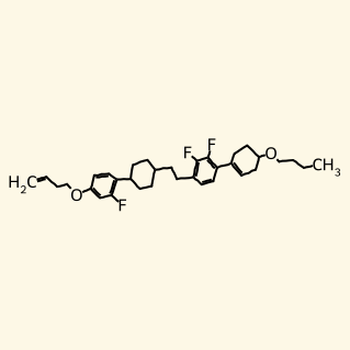 C=CCCOc1ccc(C2CCC(CCc3ccc(C4=CCC(OCCCC)CC4)c(F)c3F)CC2)c(F)c1